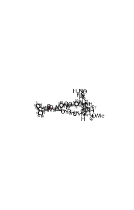 COC(=O)CC[C@H](NC(=O)CCOCCOCCOCCOCCNC(=O)OCC1c2ccccc2-c2ccccc21)C(=O)N[C@H](C(=O)N[C@@H](CCCNC(N)=O)C(=O)Nc1ccc(COC(=O)Oc2ccc([N+](=O)[O-])cc2)cc1)C(C)C